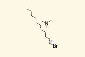 CCCCCCCCC/C=C/Br.CN(C)C